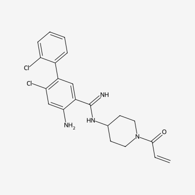 C=CC(=O)N1CCC(NC(=N)c2cc(-c3ccccc3Cl)c(Cl)cc2N)CC1